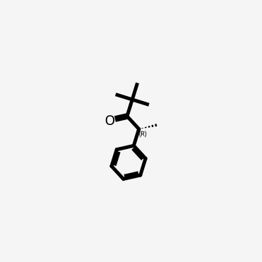 C[C@@H](C(=O)C(C)(C)C)c1ccccc1